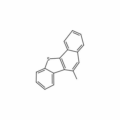 Cc1cc2ccccc2c2sc3ccccc3c12